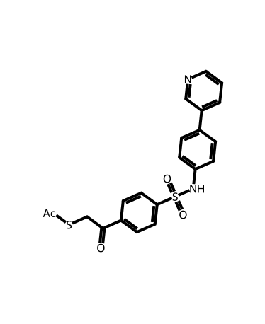 CC(=O)SCC(=O)c1ccc(S(=O)(=O)Nc2ccc(-c3cccnc3)cc2)cc1